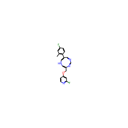 Cc1cc(F)ccc1-c1cncnc(COc2ccnc(F)c2)c[nH]c1